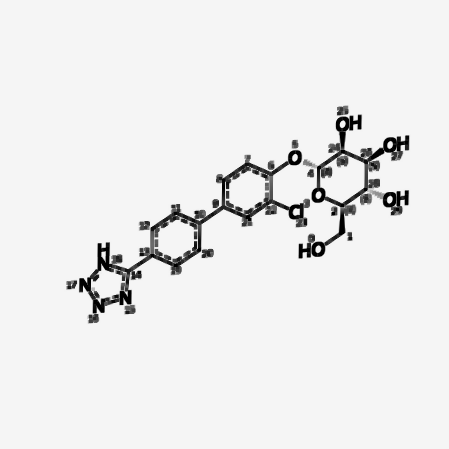 OC[C@H]1O[C@H](Oc2ccc(-c3ccc(-c4nnn[nH]4)cc3)cc2Cl)[C@@H](O)[C@@H](O)[C@@H]1O